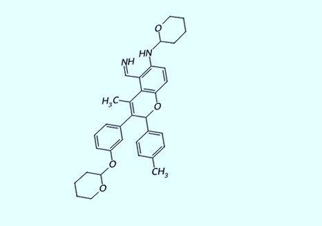 CC1=C(c2cccc(OC3CCCCO3)c2)C(c2ccc(C)cc2)Oc2ccc(NC3CCCCO3)c(C=N)c21